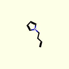 C=CCCn1[c]ccc1